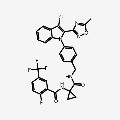 Cc1nc(-c2c(Cl)c3ccccc3n2-c2ccc(CNC(=O)C3(NC(=O)c4cc(C(F)(F)F)ccc4F)CC3)cc2)no1